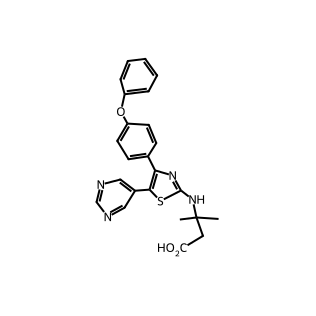 CC(C)(CC(=O)O)Nc1nc(-c2ccc(Oc3ccccc3)cc2)c(-c2cncnc2)s1